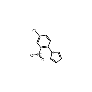 O=[N+]([O-])c1cc(Cl)ccc1-n1cccc1